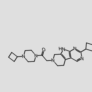 O=C(CN1CCc2c([nH]c3nc(C4CCC4)ncc23)C1)N1CCN(C2CCC2)CC1